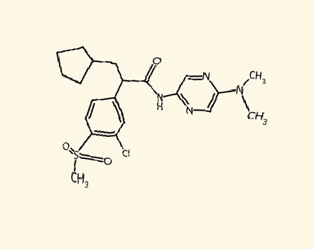 CN(C)c1cnc(NC(=O)C(CC2CCCC2)c2ccc(S(C)(=O)=O)c(Cl)c2)cn1